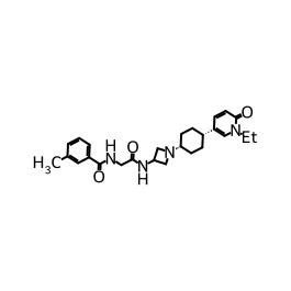 CCn1cc([C@H]2CC[C@@H](N3CC(NC(=O)CNC(=O)c4cccc(C)c4)C3)CC2)ccc1=O